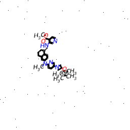 COC(=O)c1ccncc1NC[C@@H]1CCCc2cc(N(C)c3ccc(N4CC(O[Si](C)(C)C(C)C)C4)cn3)ccc21